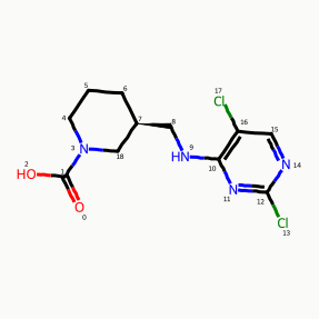 O=C(O)N1CCC[C@@H](CNc2nc(Cl)ncc2Cl)C1